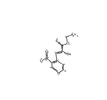 CCOC(=O)C(O)=Cc1ccncc1[N+](=O)[O-]